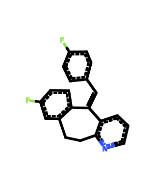 Fc1ccc(/C=C2\c3ccc(F)cc3CCc3ncccc32)cc1